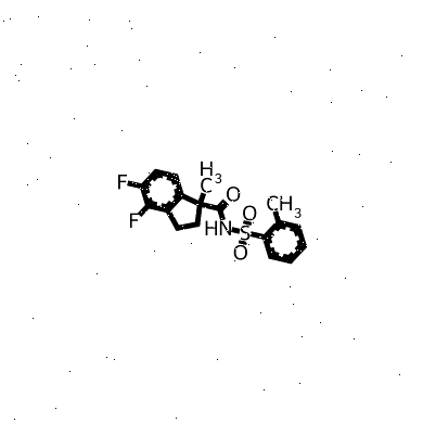 Cc1ccccc1S(=O)(=O)NC(=O)C1(C)CCc2c1ccc(F)c2F